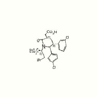 CCOC(=O)[C@H](CC(C)C)N1C(=O)[C@@H](CC(=O)O)C[C@H](c2cccc(Cl)c2)C1c1ccc(Cl)cc1